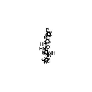 Cc1cc(-c2n[nH]c3cc(NC(=O)NC4CCCC(Oc5cccc(F)c5)C4)ncc23)ccn1